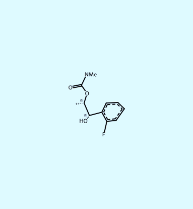 CNC(=O)O[C@@H](C)[C@@H](O)c1ccccc1F